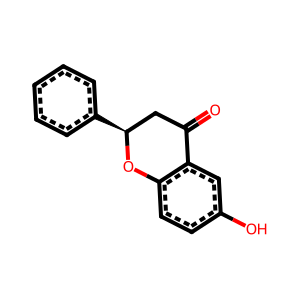 O=C1C[C@H](c2ccccc2)Oc2ccc(O)cc21